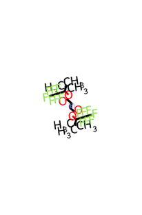 CC(C)(C)C(OC(=O)/C=C/C(=O)OC(C(C)(C)C)C(F)(F)C(F)(F)C(F)(F)F)C(F)(F)C(F)(F)C(F)(F)F